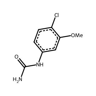 COc1cc(NC(N)=O)ccc1Cl